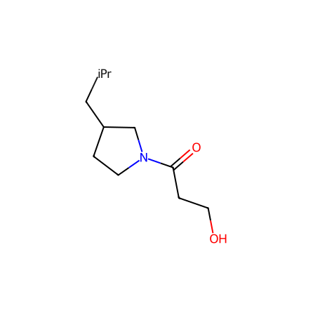 CC(C)CC1CCN(C(=O)CCO)C1